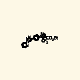 CCOC(=O)c1cnn(-c2ccc(-c3cn(-c4ccccn4)nn3)cc2)c1C(F)(F)F